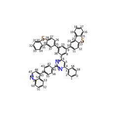 c1ccc(-c2cc(-c3cc(-c4ccc5sc6ccccc6c5c4)cc(-c4ccc5sc6ccccc6c5c4)c3)nc(-c3ccc(-c4ccnc5ccccc45)cc3)n2)cc1